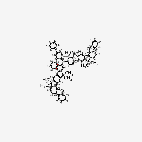 CC1(C)c2cc(N(c3ccc4c(c3)C(C)(C)c3cc5c(cc3-4)C(C)(C)c3ccc4c(oc6ccccc64)c3-5)c3ccc(-c4ccccc4)cc3-c3ccccc3)ccc2-c2cc3c(cc21)-c1c(ccc2c1oc1ccccc12)C3(C)C